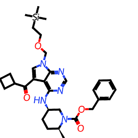 C[C@H]1CC[C@@H](Nc2ncnc3c2c(C(=O)C2CCC2)cn3COCC[Si](C)(C)C)CN1C(=O)OCc1ccccc1